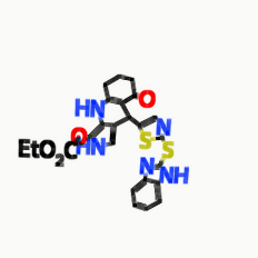 CCOC(=O)Oc1[nH]cc2c1NC1=C(C(=O)CCC1)C2c1cnc(Sc2nc3ccccc3[nH]2)s1